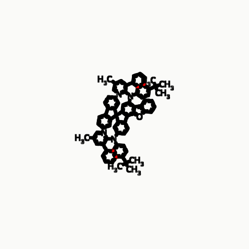 Cc1cnc(N(c2ccc(C(C)(C)C)cc2)c2ccc3c(c2)C2(c4ccccc4-c4ccccc42)c2cc(N(c4ccc(C(C)(C)C)cc4)c4ncc(C)cc4-c4ccccc4)c4c(oc5ccccc54)c2-3)c(-c2ccccc2)c1